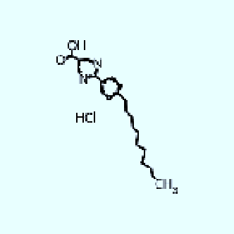 CCCCCCCCCCCc1ccc(-c2ncc(C(=O)O)cn2)cc1.Cl